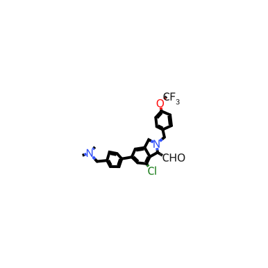 CN(C)Cc1ccc(-c2cc(Cl)c3c(c2)CN(Cc2ccc(OC(F)(F)F)cc2)C3C=O)cc1